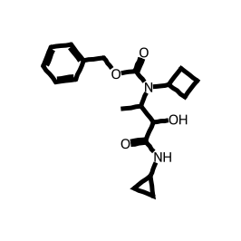 CC(C(O)C(=O)NC1CC1)N(C(=O)OCc1ccccc1)C1CCC1